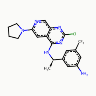 C[C@@H](Nc1nc(Cl)nc2cnc(N3CCCC3)cc12)c1cc(N)cc(C(F)(F)F)c1